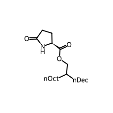 CCCCCCCCCCC(CCCCCCCC)COC(=O)[C@@H]1CCC(=O)N1